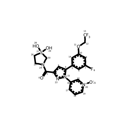 O=C(c1cc(-c2cc(F)cc(OCC(F)(F)F)c2)n(-c2ccc[n+]([O-])c2)n1)N1CCS(O)(O)C1